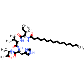 CCCCCCCCCCCCCCCC(=O)N[C@H](C(=O)N[C@H](C(=O)N[C@@H](Cc1c[nH]cn1)C(=O)N[C@@H](C)C(C)=O)C(C)C)[C@@H](C)CC